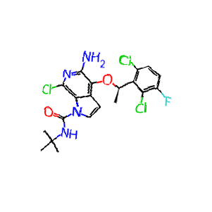 C[C@@H](Oc1c(N)nc(Cl)c2c1ccn2C(=O)NC(C)(C)C)c1c(Cl)ccc(F)c1Cl